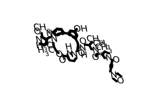 COCc1ncccc1-c1nc2ccc3cc2n1CC(C)(C)COC(=O)[C@@H]1CCCN(N1)C(=O)[C@@H](NC(=O)C(CN(C)C(=O)[C@H]1CCN(C(=O)C#CCN2CCOCC2)C1)C(C)C)Cc1cc(O)cc-3c1